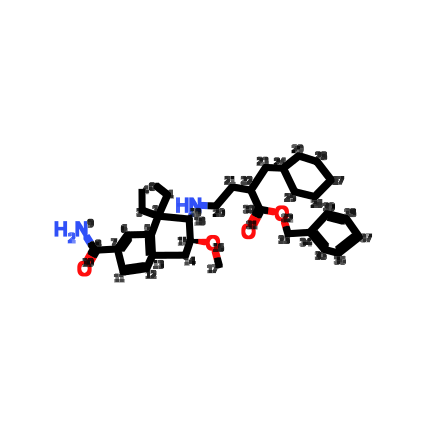 CCC1(CC)c2cc(C(N)=O)ccc2C[C@H](OC)[C@H]1NCCC(CC1CCCCC1)C(=O)OCc1ccccc1